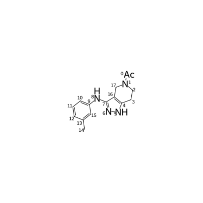 CC(=O)N1CCc2[nH]nc(Nc3cccc(C)c3)c2C1